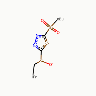 CCCCS(=O)(=O)c1nnc([S+]([O-])CC(C)C)s1